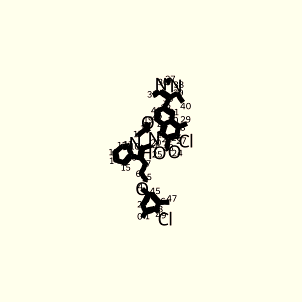 Cc1cc(OCCCc2c3n(c4ccccc24)CC(=O)N(c2c(C(=O)O)c(Cl)c(C)c4cc(-c5c(C)ncnc5C)ccc24)C3)cc(C)c1Cl